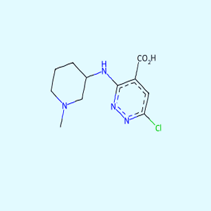 CN1CCCC(Nc2nnc(Cl)cc2C(=O)O)C1